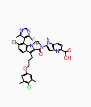 Cc1cc(OCCCc2c3n(c4c(-c5c(C)ncnc5C)c(Cl)ccc24)[C@H](C)CN(c2cc4nc(C(=O)O)ccc4n2C)C3=O)cc(C)c1Cl